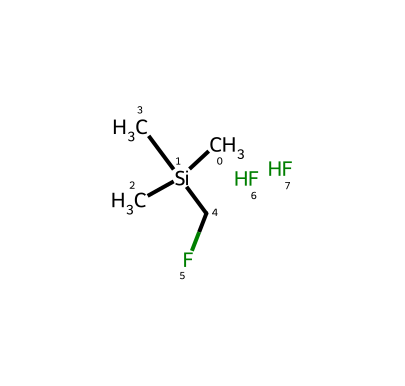 C[Si](C)(C)CF.F.F